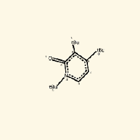 CC(C)(C)c1ccn(C(C)(C)C)c(=O)c1C(C)(C)C